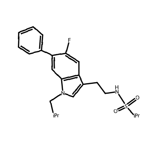 CC(C)Cn1cc(CCNS(=O)(=O)C(C)C)c2cc(F)c(-c3ccccc3)cc21